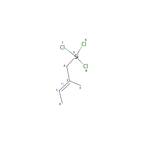 C/C=C(\C)C[Si](Cl)(Cl)Cl